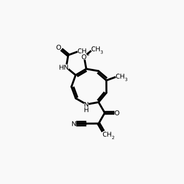 C=C(C#N)C(=O)c1cc(C)cc(OC)c(NC(C)=O)cc[nH]1